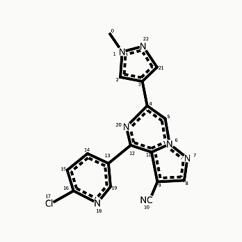 Cn1cc(-c2cn3ncc(C#N)c3c(-c3ccc(Cl)nc3)n2)cn1